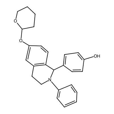 Oc1ccc(C2c3ccc(OC4CCCCO4)cc3CCN2c2ccccc2)cc1